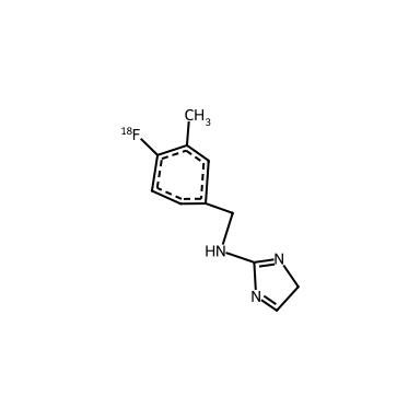 Cc1cc(CNC2=NCC=N2)ccc1[18F]